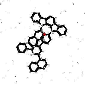 c1ccc(-c2nc(-c3ccc(-n4c5ccccc5c5ccc6c7ccccc7n(-c7ccc8ccccc8c7)c6c54)cc3)cc(-c3cccc4ccccc34)n2)cc1